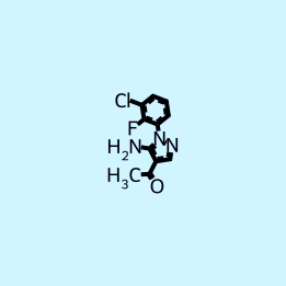 CC(=O)c1cnn(-c2cccc(Cl)c2F)c1N